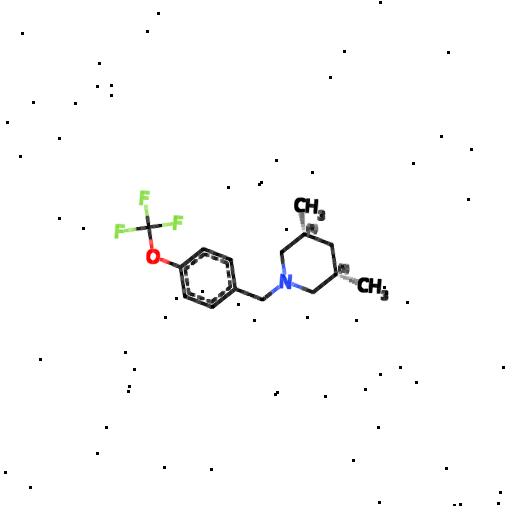 C[C@@H]1C[C@H](C)CN(Cc2ccc(OC(F)(F)F)cc2)C1